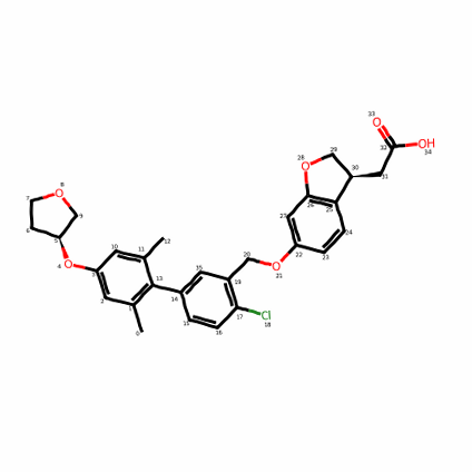 Cc1cc(O[C@H]2CCOC2)cc(C)c1-c1ccc(Cl)c(COc2ccc3c(c2)OC[C@H]3CC(=O)O)c1